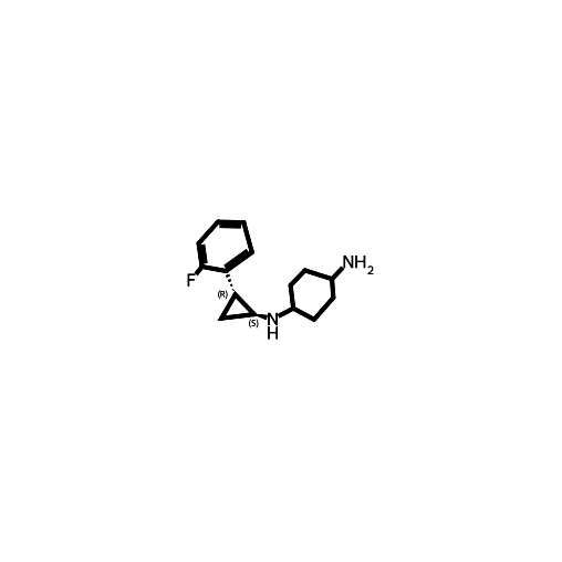 NC1CCC(N[C@H]2C[C@@H]2c2ccccc2F)CC1